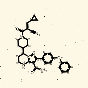 N#C/C(=C\C1CC1)C(=O)N1CCC(C2CCNc3c(C(N)=O)c(-c4ccc(Oc5ccccc5)cc4)nn32)CC1